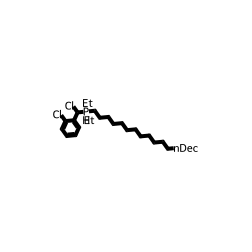 CCCCCCCCCCCCCCCCCCCCCC[PH](CC)(CC)C(Cl)c1ccccc1Cl